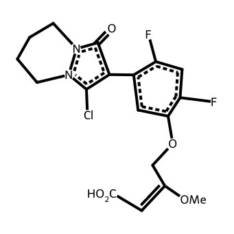 CO/C(=C/C(=O)O)COc1cc(-c2c(Cl)n3n(c2=O)CCCC3)c(F)cc1F